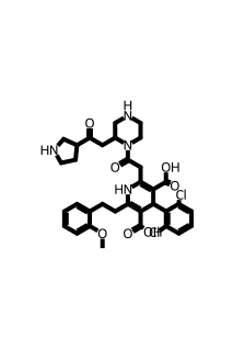 COc1ccccc1CCC1=C(C(=O)O)C(c2c(Cl)cccc2Cl)C(C(=O)O)=C(CC(=O)N2CCNCC2CC(=O)C2CCNC2)N1